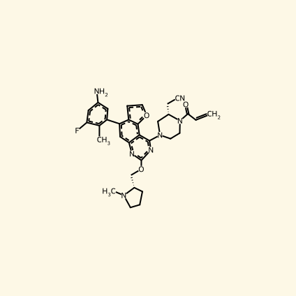 C=CC(=O)N1CCN(c2nc(OC[C@@H]3CCCN3C)nc3cc(-c4cc(N)cc(F)c4C)c4ccoc4c23)C[C@@H]1CC#N